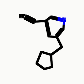 C#Cc1cncc(CC2CCCC2)c1